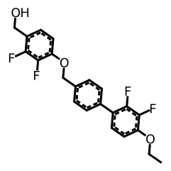 CCOc1ccc(-c2ccc(COc3ccc(CO)c(F)c3F)cc2)c(F)c1F